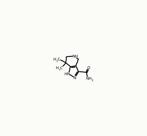 CC1(C)CNCc2c(C(N)=O)n[nH]c21